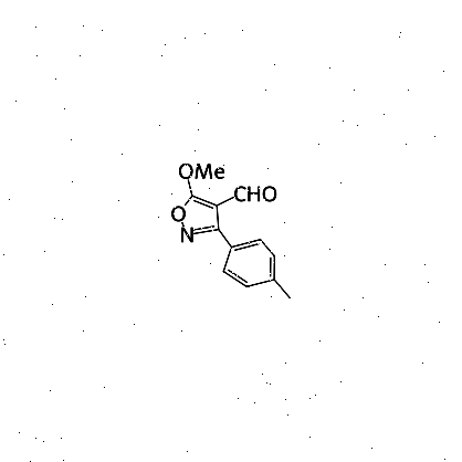 COc1onc(-c2ccc(C)cc2)c1C=O